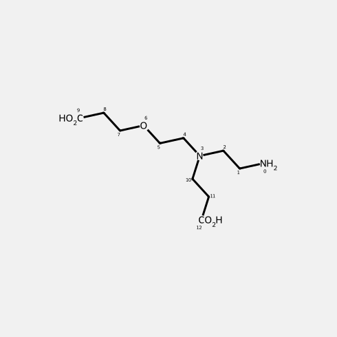 NCCN(CCOCCC(=O)O)CCC(=O)O